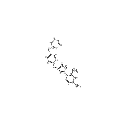 Nc1ccc(-c2cc(Cc3ccc(Oc4ccccc4)cc3)no2)c(N)n1